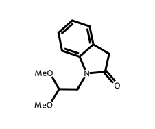 COC(CN1C(=O)Cc2ccccc21)OC